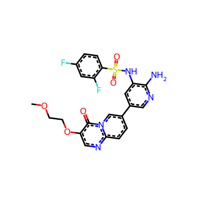 COCCOc1cnc2ccc(-c3cnc(N)c(NS(=O)(=O)c4ccc(F)cc4F)c3)cn2c1=O